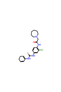 O=C(CN1CCCCCC1)Nc1ccc(NC(=S)NC2=CC[CH]C=C2)cc1Cl